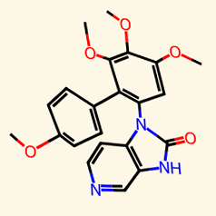 COc1ccc(-c2c(-n3c(=O)[nH]c4cnccc43)cc(OC)c(OC)c2OC)cc1